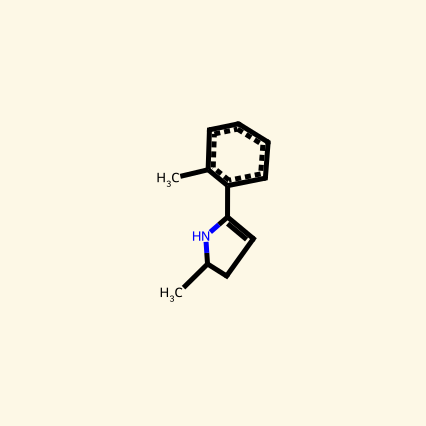 Cc1ccccc1C1=CCC(C)N1